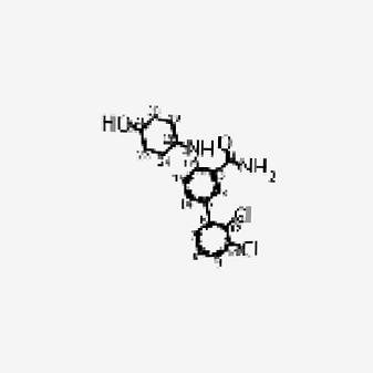 NC(=O)c1cc(-c2cccc(Cl)c2Cl)ccc1NC1CCC(O)CC1